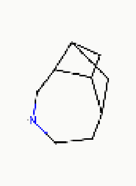 C1CC2CC3CC2C3C[N]1